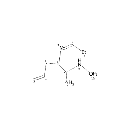 C=CCC(/N=C\CC)C(N)NO